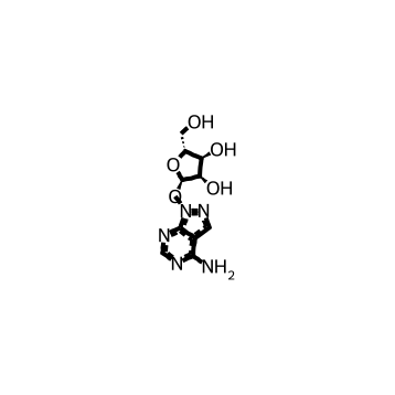 Nc1ncnc2c1cnn2O[C@H]1O[C@H](CO)[C@@H](O)[C@H]1O